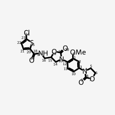 COc1cc(N2CCOC2=O)ccc1N1CC(CNC(=O)c2ccc(Cl)s2)OC1=O